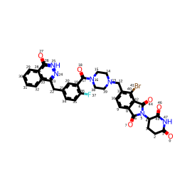 O=C1CCC(N2C(=O)c3ccc(CN4CCN(C(=O)c5cc(Cc6n[nH]c(=O)c7ccccc67)ccc5F)CC4)c(Br)c3C2=O)C(=O)N1